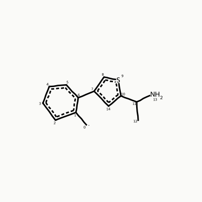 [CH2]c1ccccc1-c1csc(C(C)N)c1